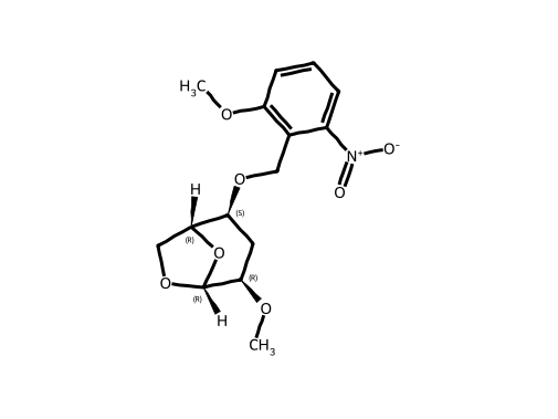 COc1cccc([N+](=O)[O-])c1CO[C@H]1C[C@@H](OC)[C@@H]2OC[C@H]1O2